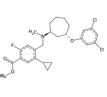 CN(Cc1cc(F)c(C(=O)OC(C)(C)C)cc1C1CC1)[C@H]1CCCC[C@H](Oc2cc(Cl)cc(Cl)c2)C1